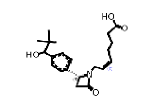 CC(C)(C)C(O)c1ccc([C@H]2CC(=O)N2C/C=C\CCCC(=O)O)cc1